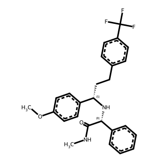 CNC(=O)[C@H](N[C@@H](CCc1ccc(C(F)(F)F)cc1)c1ccc(OC)cc1)c1ccccc1